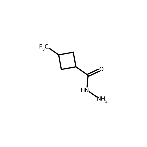 NNC(=O)C1CC(C(F)(F)F)C1